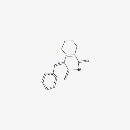 O=C1NC(=O)/C(=C\c2ccccc2)C2=C1CCCC2